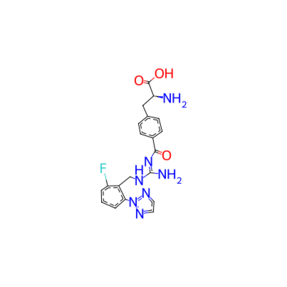 N/C(=N\C(=O)c1ccc(C[C@H](N)C(=O)O)cc1)NCc1c(F)cccc1-n1nccn1